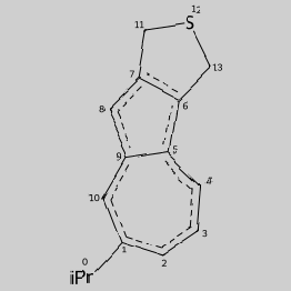 CC(C)c1cccc2c3c(cc-2c1)CSC3